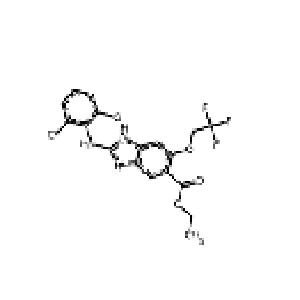 CCOC(=O)c1cc2nc(Nc3c(Cl)cccc3Cl)[nH]c2cc1OCC(F)(F)F